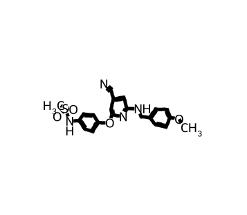 COc1ccc(CNc2cc(C#N)cc(Oc3ccc(NS(C)(=O)=O)cc3)n2)cc1